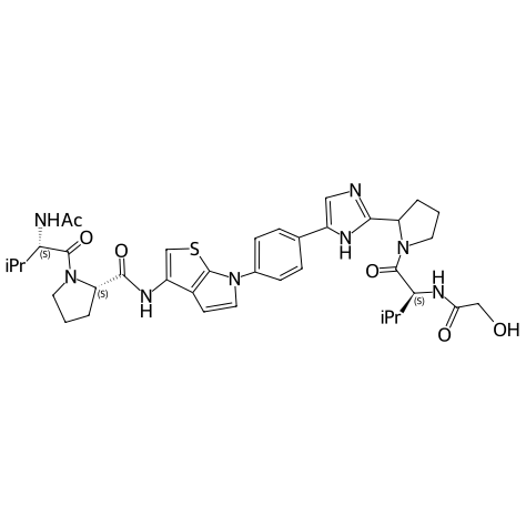 CC(=O)N[C@H](C(=O)N1CCC[C@H]1C(=O)Nc1csc2c1ccn2-c1ccc(-c2cnc(C3CCCN3C(=O)[C@@H](NC(=O)CO)C(C)C)[nH]2)cc1)C(C)C